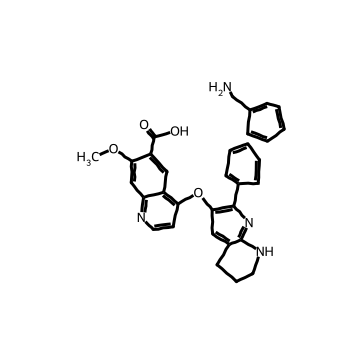 COc1cc2nccc(Oc3cc4c(nc3-c3ccccc3)NCCC4)c2cc1C(=O)O.NCc1ccccc1